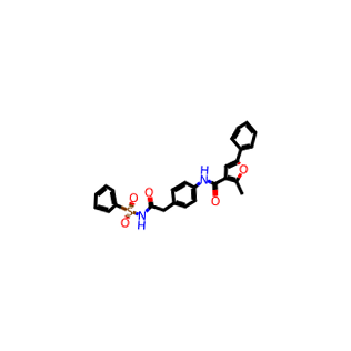 Cc1oc(-c2ccccc2)cc1C(=O)Nc1ccc(CC(=O)NS(=O)(=O)c2ccccc2)cc1